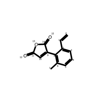 C=Cc1cccc(C)c1C1=CC(=O)OC1=O